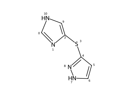 c1nc(Sc2cc[nH]n2)c[nH]1